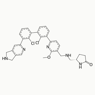 COc1nc(-c2cccc(-c3cccc(-c4cc5c(cn4)CNC5)c3Cl)c2Cl)ccc1CNC[C@@H]1CCC(=O)N1